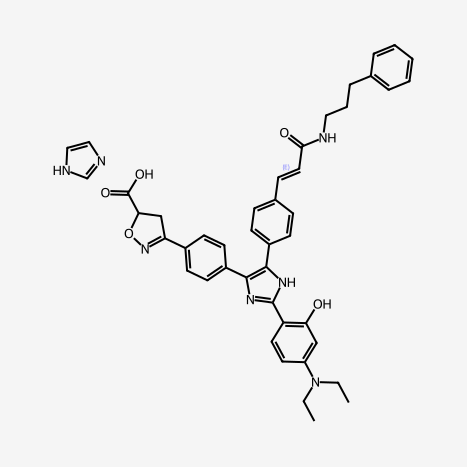 CCN(CC)c1ccc(-c2nc(-c3ccc(C4=NOC(C(=O)O)C4)cc3)c(-c3ccc(/C=C/C(=O)NCCCc4ccccc4)cc3)[nH]2)c(O)c1.c1c[nH]cn1